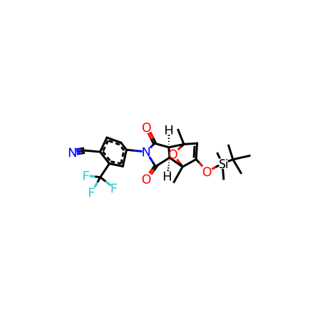 CC12C=C(O[Si](C)(C)C(C)(C)C)C(C)(O1)[C@H]1C(=O)N(c3ccc(C#N)c(C(F)(F)F)c3)C(=O)[C@H]12